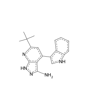 CC(C)(C)c1cc(-c2c[nH]c3ccccc23)c2c(N)n[nH]c2n1